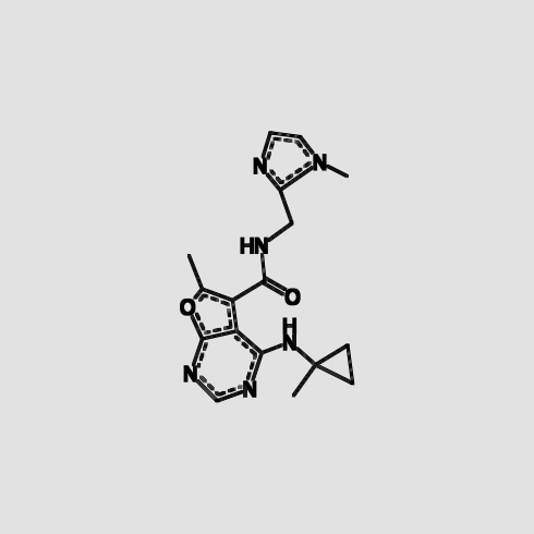 Cc1oc2ncnc(NC3(C)CC3)c2c1C(=O)NCc1nccn1C